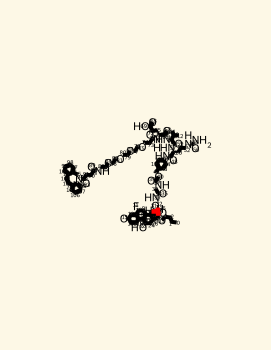 CCCC1O[C@@H]2C[C@H]3[C@@H]4C[C@H](F)C5=CC(=O)C=C[C@]5(C)[C@@]4(F)[C@@H](O)C[C@]3(C)[C@]2(C(=O)COCNC(=O)CNC(=O)OCc2ccc(NC(=O)[C@H](CCCNC(N)=O)NC(=O)[C@@H](NC(=O)[C@H](CCC(=O)O)NC(=O)CCOCCOCCOCCOCCNC(=O)CCC(=O)N3Cc4ccccc4/C=C\c4ccccc43)C(C)C)cc2)O1